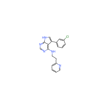 Clc1cccc(-c2c[nH]c3ncnc(NCCc4ccccn4)c23)c1